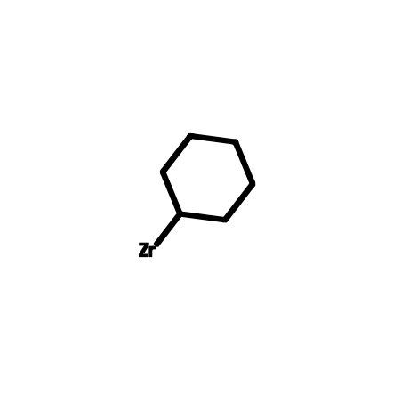 [Zr][CH]1CCCCC1